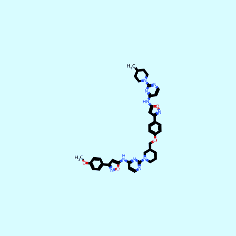 COc1ccc(-c2cc(Nc3ccnc(N4CCCC(COc5ccc(-c6cc(Nc7ccnc(N8CCC(C)CC8)n7)on6)cc5)C4)n3)on2)cc1